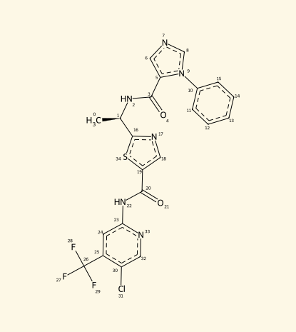 C[C@@H](NC(=O)c1cncn1-c1ccccc1)c1ncc(C(=O)Nc2cc(C(F)(F)F)c(Cl)cn2)s1